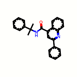 CC(C)(NC(=O)c1cc(-c2ccccc2)nc2ccccc12)c1ccccc1